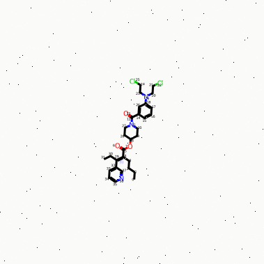 CCCC/C(C(=O)OC1CCN(C(=O)c2cccc(N(CCCl)CCCl)c2)CC1)=C(/CC)c1cccnc1